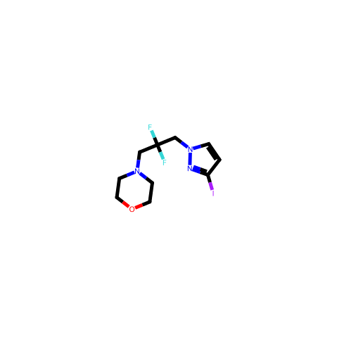 FC(F)(CN1CCOCC1)Cn1ccc(I)n1